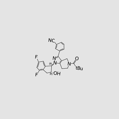 CC(C)(C)C(=O)N1CCc2c(c(-c3cccc(C#N)c3)nn2[C@@H]2c3cc(F)cc(F)c3C[C@H]2O)C1